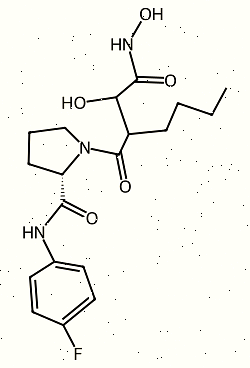 CCCCC(C(=O)N1CCC[C@H]1C(=O)Nc1ccc(F)cc1)C(O)C(=O)NO